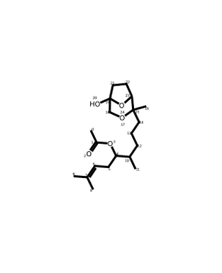 CC(=O)OC(CC=C(C)C)C(C)CCCC1(C)OCC2(O)CCC1O2